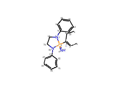 C/C=C(\CC)P1(=N)N(c2ccccc2)CCN1c1ccccc1